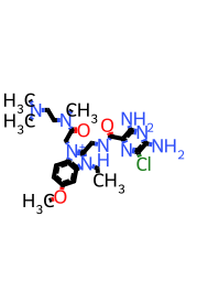 CCn1c(CNC(=O)c2nc(Cl)c(N)nc2N)[n+](CC(=O)N(C)CCN(C)C)c2ccc(OC)cc21